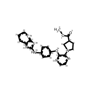 COC(=O)C1CCN(c2nccnc2Oc2ccc(Nc3nc4ccccc4s3)cc2)C1